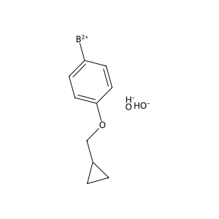 [B+2]c1ccc(OCC2CC2)cc1.[OH-].[OH-]